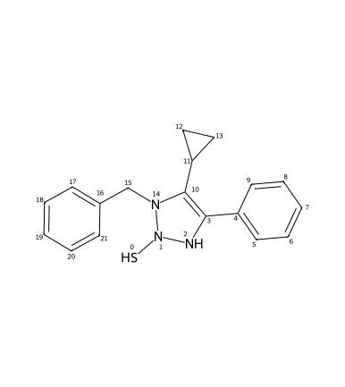 SN1NC(c2ccccc2)=C(C2CC2)N1Cc1ccccc1